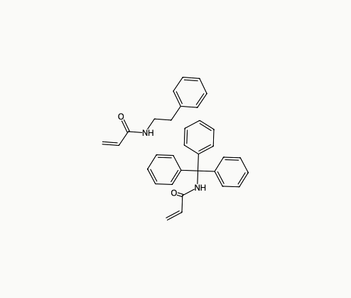 C=CC(=O)NC(c1ccccc1)(c1ccccc1)c1ccccc1.C=CC(=O)NCCc1ccccc1